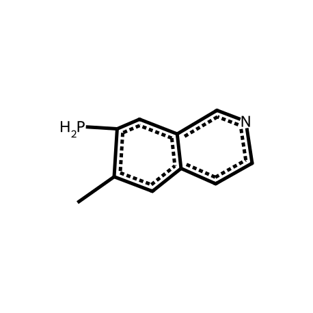 Cc1cc2ccncc2cc1P